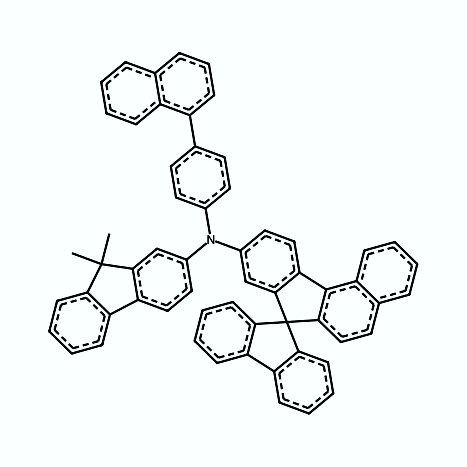 CC1(C)c2ccccc2-c2ccc(N(c3ccc(-c4cccc5ccccc45)cc3)c3ccc4c(c3)C3(c5ccccc5-c5ccccc53)c3ccc5ccccc5c3-4)cc21